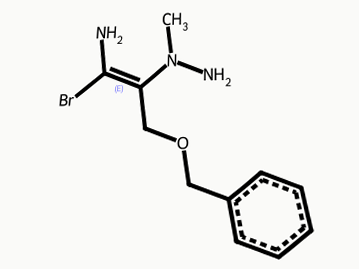 CN(N)/C(COCc1ccccc1)=C(\N)Br